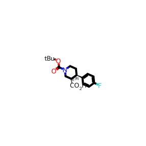 CC(C)(C)OC(=O)N1CC[C@@H](c2ccc(F)cc2)[C@H](C(=O)O)C1